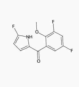 COc1c(F)cc(F)cc1C(=O)c1ccc(F)[nH]1